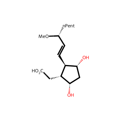 CCCCC[C@H](C=C[C@@H]1[C@@H](CC(=O)O)[C@@H](O)C[C@H]1O)OC